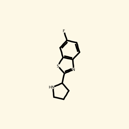 Fc1ccc2nc(C3CCCN3)sc2c1